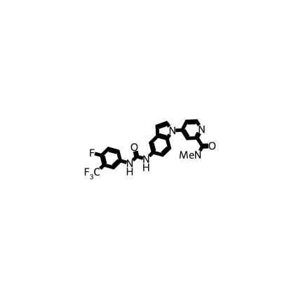 CNC(=O)c1cc(-n2ccc3cc(NC(=O)Nc4ccc(F)c(C(F)(F)F)c4)ccc32)ccn1